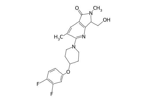 Cc1cc2c(nc1N1CCC(Oc3ccc(F)c(F)c3)CC1)C(CO)N(C)C2=O